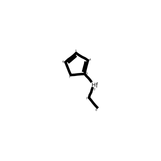 C[CH2][Hf][C]1=CC=CC1